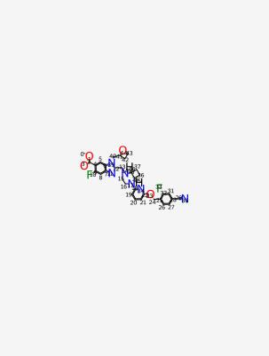 COC(=O)c1cc2c(cc1F)nc(CN1CCN(c3cccc(OCc4ccc(C#N)cc4F)n3)[C@@H]3CC[C@H]31)n2C[C@@H]1CCO1